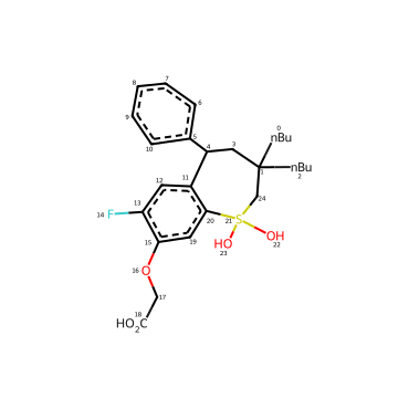 CCCCC1(CCCC)CC(c2ccccc2)c2cc(F)c(OCC(=O)O)cc2S(O)(O)C1